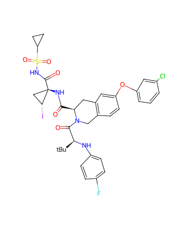 CC(C)(C)[C@H](Nc1ccc(F)cc1)C(=O)N1Cc2ccc(Oc3cccc(Cl)c3)cc2C[C@@H]1C(=O)N[C@]1(C(=O)NS(=O)(=O)C2CC2)C[C@H]1I